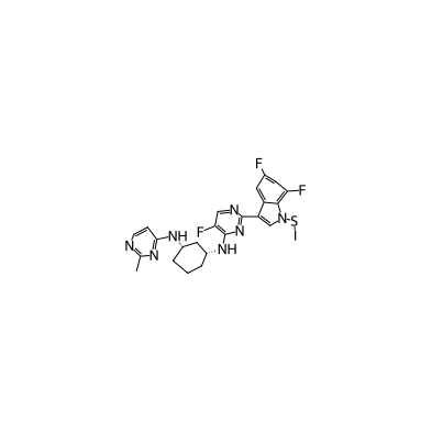 Cc1nccc(N[C@H]2CCC[C@@H](Nc3nc(-c4cn(SI)c5c(F)cc(F)cc45)ncc3F)C2)n1